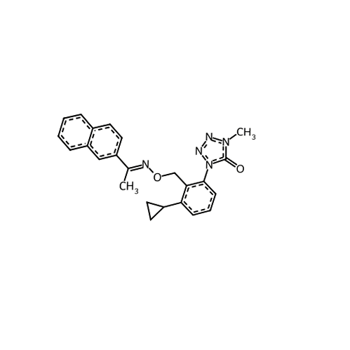 CC(=NOCc1c(C2CC2)cccc1-n1nnn(C)c1=O)c1ccc2ccccc2c1